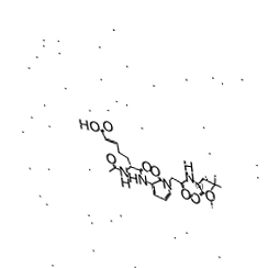 COC(=O)[C@H](CC(C)(C)C)NC(=O)Cn1cccc(NC(=O)C(CCC=CC(=O)O)NC(C)=O)c1=O